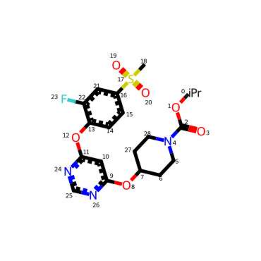 CC(C)OC(=O)N1CCC(Oc2cc(Oc3ccc(S(C)(=O)=O)cc3F)ncn2)CC1